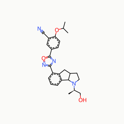 CC(C)Oc1ccc(-c2nc(-c3cccc4c3CC3CCN([C@H](C)CO)C43)no2)cc1C#N